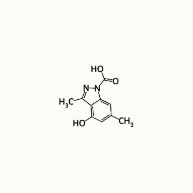 Cc1cc(O)c2c(C)nn(C(=O)O)c2c1